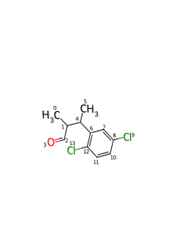 CC(C=O)C(C)c1cc(Cl)ccc1Cl